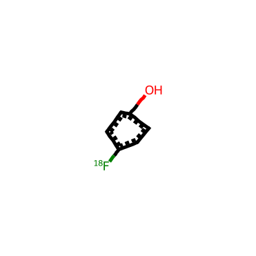 Oc1ccc([18F])cc1